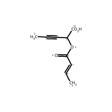 CC#CC(OC(=O)C=CC)C(=O)O